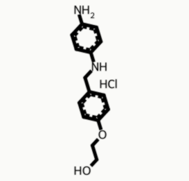 Cl.Nc1ccc(NCc2ccc(OCCO)cc2)cc1